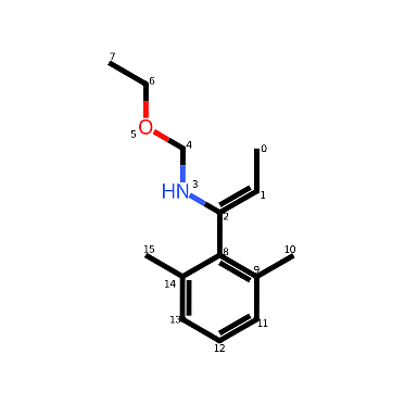 C/C=C(\NCOCC)c1c(C)cccc1C